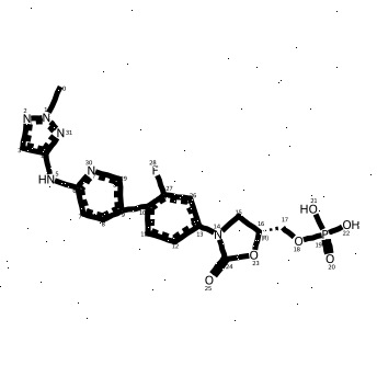 Cn1ncc(Nc2ccc(-c3ccc(N4C[C@H](COP(=O)(O)O)OC4=O)cc3F)cn2)n1